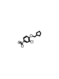 O=[N+]([O-])c1ccc(OCC2CCCC2)c(Cl)c1